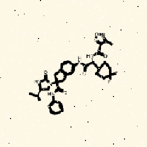 Cc1nonc1C(=O)N[C@H](C(=O)Nc1ccc2c(c1)CC(C(=O)Nc1ccccc1)(N1C[C@@H](C(C)C)NC1=O)C2)C1CCC(F)(F)CC1